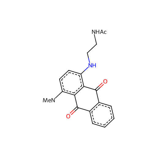 CNc1ccc(NCCNC(C)=O)c2c1C(=O)c1ccccc1C2=O